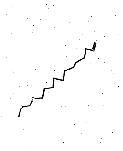 C=CCCCCCCCCCCOCOC